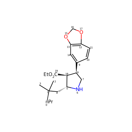 CCCC(C)(C)C[C@H]1NC[C@H](c2ccc3c(c2)OCO3)[C@@H]1C(=O)OCC